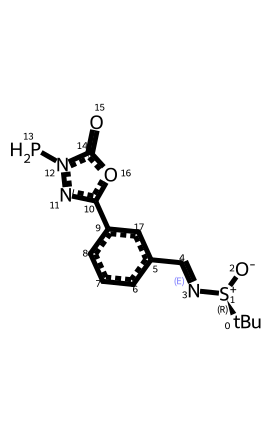 CC(C)(C)[S@+]([O-])/N=C/c1cccc(-c2nn(P)c(=O)o2)c1